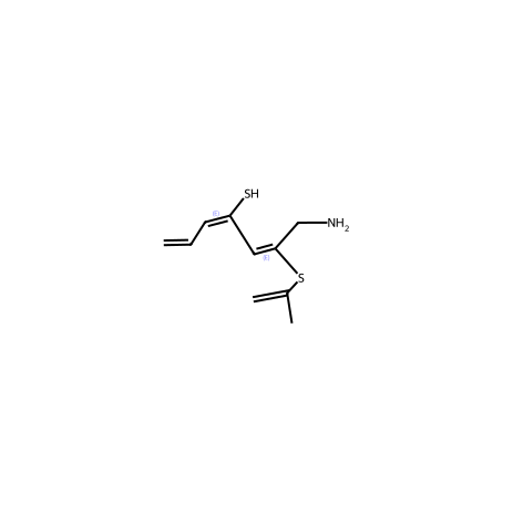 C=C/C=C(S)\C=C(/CN)SC(=C)C